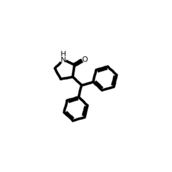 O=C1NCCC1C(c1ccccc1)c1ccccc1